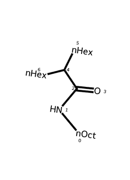 CCCCCCCCNC(=O)C(CCCCCC)CCCCCC